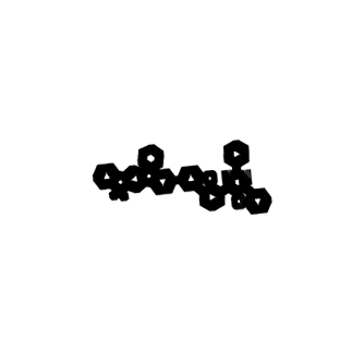 CC1(C)c2ccccc2-c2cc3c(cc21)-c1ccc(-c2ccc4oc5c(-c6nc(-c7ccccc7)nc7c6oc6ccccc67)cccc5c4c2)cc1C31CCCCC1